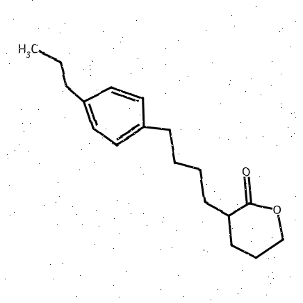 CCCc1ccc(CCCCC2CCCOC2=O)cc1